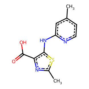 Cc1ccnc(Nc2sc(C)nc2C(=O)O)c1